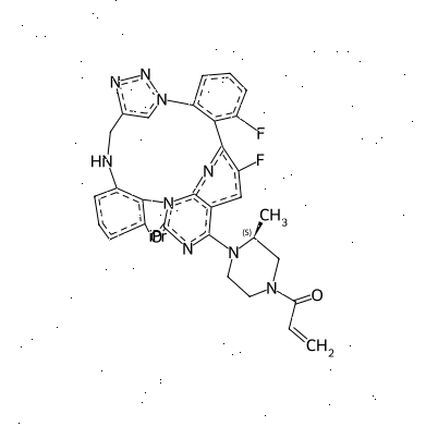 C=CC(=O)N1CCN(c2nc(=O)n3c4nc(c(F)cc24)-c2c(F)cccc2-n2cc(nn2)CNc2cccc(C(C)C)c2-3)[C@@H](C)C1